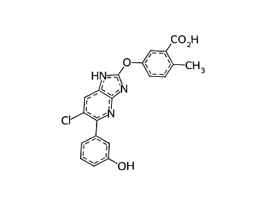 Cc1ccc(Oc2nc3nc(-c4cccc(O)c4)c(Cl)cc3[nH]2)cc1C(=O)O